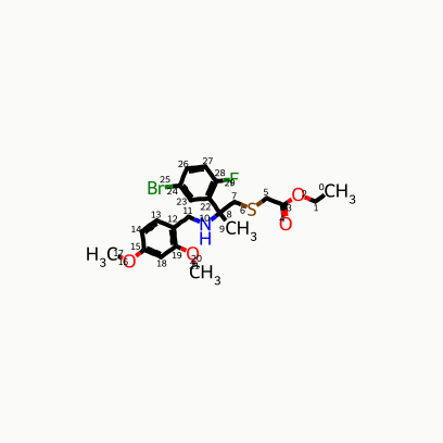 CCOC(=O)CSCC(C)(NCc1ccc(OC)cc1OC)c1cc(Br)ccc1F